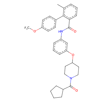 Cc1cccc(C(=O)Nc2cccc(OC3CCN(C(=O)C4CCCC4)CC3)c2)c1-c1ccc(OC(F)(F)F)cc1